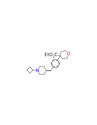 CCOC(=O)C1(c2ccc(C=C3CCN(C4CCC4)CC3)cc2)CCOCC1